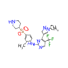 Cc1cc(S(=O)(=O)C2CCNCC2)ccc1Nc1ncc(C(F)(F)F)c(-c2cnn(C)c2)n1